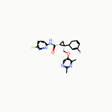 Cc1ncc(OC[C@@]2(C3C=C(I)C=CC3)C[C@H]2C(=O)Nc2ccc(F)cn2)c(C)n1